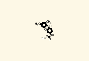 Cc1cc(C)c(NC2CCC(NC(=O)OC(C)(C)C)CC2)c(C)c1